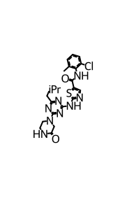 Cc1cccc(Cl)c1NC(=O)c1cnc(Nc2nc(CC(C)C)nc(N3CCNC(=O)C3)n2)s1